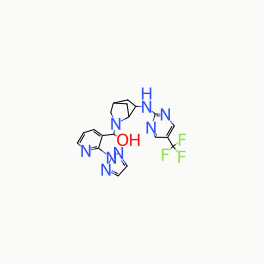 OC(c1cccnc1-n1nccn1)N1CC2CC(Nc3ncc(C(F)(F)F)cn3)C1C2